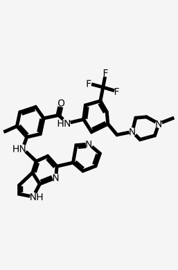 Cc1ccc(C(=O)Nc2cc(CN3CCN(C)CC3)cc(C(F)(F)F)c2)cc1Nc1cc(-c2cccnc2)nc2[nH]ccc12